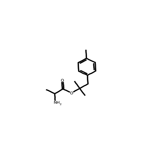 Cc1ccc(CC(C)(C)OC(=O)C(C)N)cc1